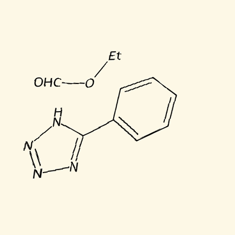 CCOC=O.c1ccc(-c2nnn[nH]2)cc1